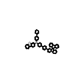 c1ccc(-c2ccc(N(c3ccc(-c4ccc(-c5cccc(C6(c7ccccc7)c7ccccc7-c7ccccc76)c5)cc4)cc3)c3ccc4c(c3)oc3ccccc34)cc2)cc1